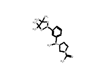 CC(=O)N1CC[C@@H](N(C)c2cccc(B3OC(C)(C)C(C)(C)O3)c2)C1